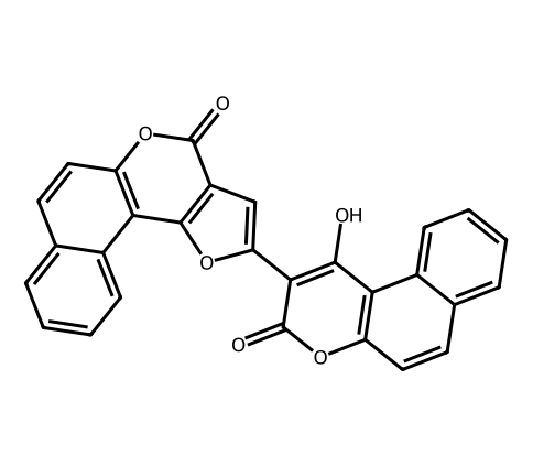 O=c1oc2ccc3ccccc3c2c(O)c1-c1cc2c(=O)oc3ccc4ccccc4c3c2o1